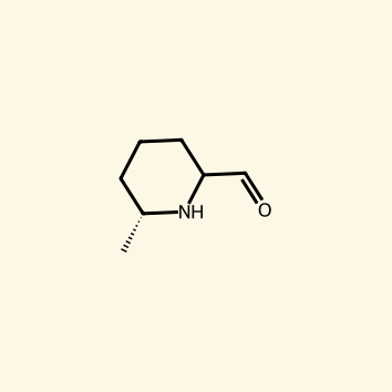 C[C@@H]1CCCC(C=O)N1